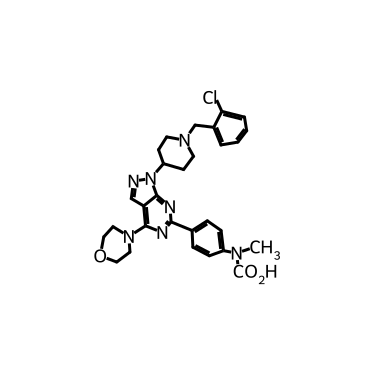 CN(C(=O)O)c1ccc(-c2nc(N3CCOCC3)c3cnn(C4CCN(Cc5ccccc5Cl)CC4)c3n2)cc1